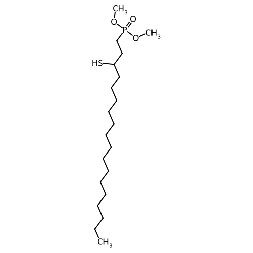 CCCCCCCCCCCCCCCC(S)CCP(=O)(OC)OC